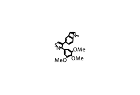 COc1cc(-c2nscc2-c2ccc3c(ccn3C)c2)cc(OC)c1OC